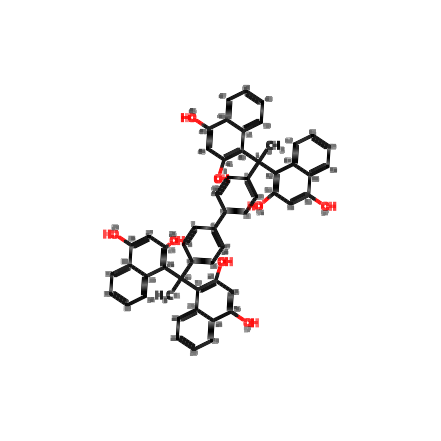 CC(c1ccc(-c2ccc(C(C)(c3c(O)cc(O)c4ccccc34)c3c(O)cc(O)c4ccccc34)cc2)cc1)(c1c(O)cc(O)c2ccccc12)c1c(O)cc(O)c2ccccc12